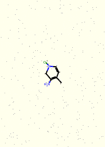 CC1=C(N)CN(Cl)C=C1